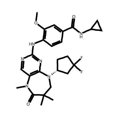 COc1cc(C(=O)NC2CC2)ccc1Nc1ncc2c(n1)N([C@@H]1CCC(F)(F)C1)CC(C)(C)C(=O)N2C